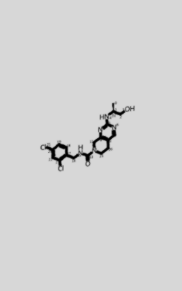 C[C@@H](CO)Nc1ncc2c(n1)CN(C(=O)NCc1ccc(Cl)cc1Cl)CC2